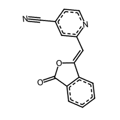 N#Cc1ccnc(C=C2OC(=O)c3ccccc32)c1